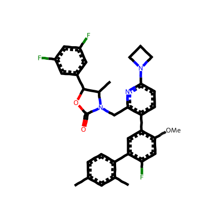 COc1cc(F)c(-c2ccc(C)cc2C)cc1-c1ccc(N2CCC2)nc1CN1C(=O)OC(c2cc(F)cc(F)c2)C1C